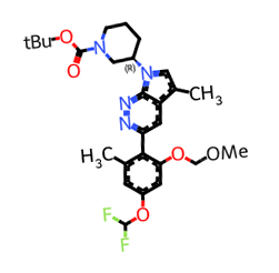 COCOc1cc(OC(F)F)cc(C)c1-c1cc2c(C)cn([C@@H]3CCCN(C(=O)OC(C)(C)C)C3)c2nn1